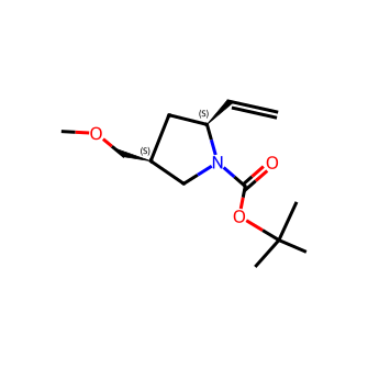 C=C[C@@H]1C[C@H](COC)CN1C(=O)OC(C)(C)C